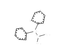 CC(C)(C)[SiH]([SiH](c1ccccc1)c1ccccc1)C(C)(C)C